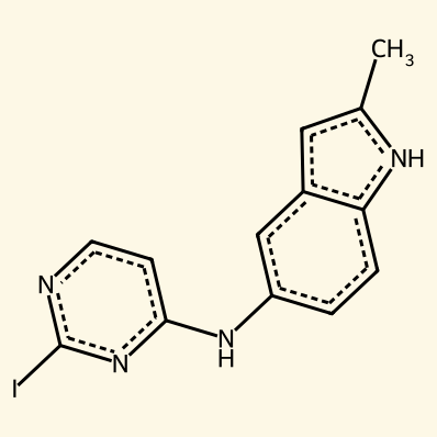 Cc1cc2cc(Nc3ccnc(I)n3)ccc2[nH]1